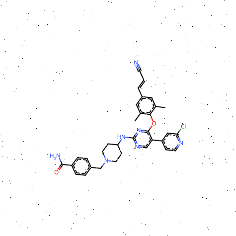 Cc1cc(/C=C/C#N)cc(C)c1Oc1nc(NC2CCN(Cc3ccc(C(N)=O)cc3)CC2)ncc1-c1ccnc(Cl)c1